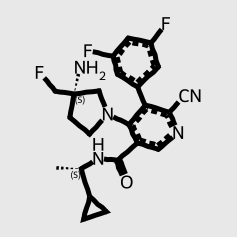 C[C@H](NC(=O)c1cnc(C#N)c(-c2cc(F)cc(F)c2)c1N1CC[C@@](N)(CF)C1)C1CC1